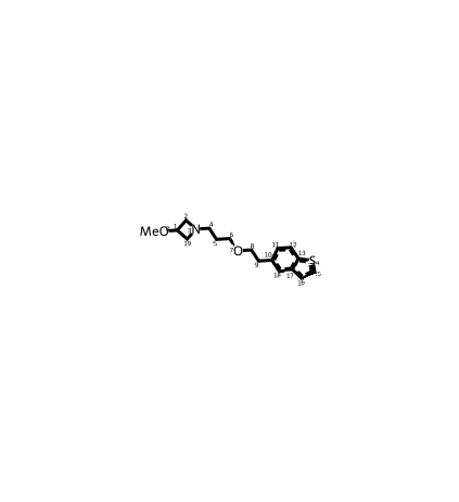 COC1CN(CCCOCCc2ccc3sccc3c2)C1